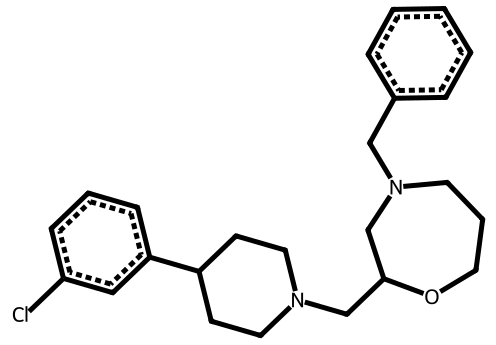 Clc1cccc(C2CCN(CC3CN(Cc4ccccc4)CCCO3)CC2)c1